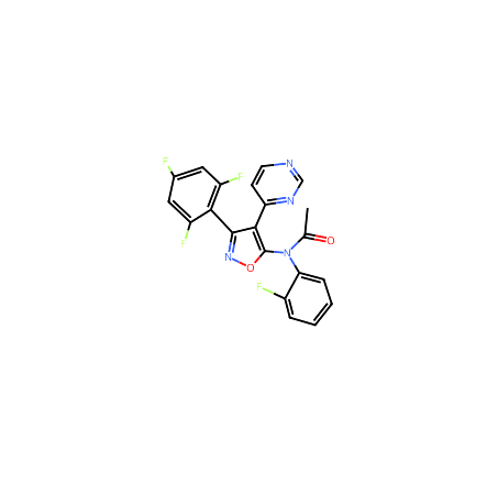 CC(=O)N(c1ccccc1F)c1onc(-c2c(F)cc(F)cc2F)c1-c1ccncn1